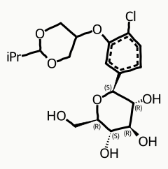 CC(C)C1OCC(Oc2cc([C@@H]3O[C@H](CO)[C@@H](O)[C@H](O)[C@H]3O)ccc2Cl)CO1